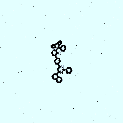 c1ccc(-c2nc(-c3ccc(-c4cccc5c4Oc4ccccc4C54c5ccccc5-c5ccccc54)cc3)cc(-c3cccc4ccccc34)n2)cc1